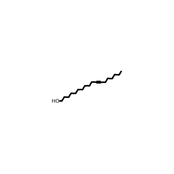 CCCCCCC#CCCCCCCCCCCO